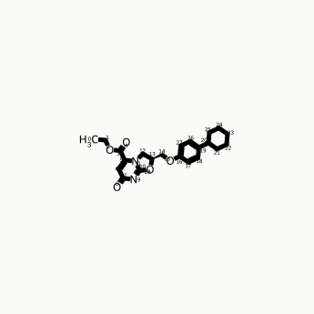 CCOC(=O)c1cc(=O)nc2n1C[C@@H](COc1ccc(C3CCCCC3)cc1)O2